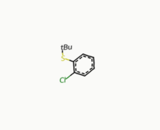 CC(C)(C)Sc1ccccc1Cl